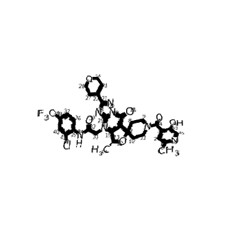 Cc1cc(C(=O)N2CCC3(CC2)O[C@H](C)c2c3c(=O)n3nc(C4=CCOCC4)nc3n2CC(=O)Nc2ccc(C(F)(F)F)cc2Cl)c(O)cn1